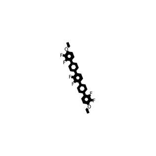 CCOc1ccc(C2CCC(c3ccc(C4CCC(c5ccc(OCC)c(F)c5F)CC4)c(F)c3F)CC2)c(F)c1F